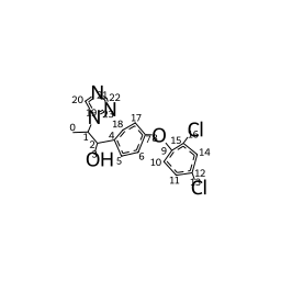 CC(C(O)c1ccc(Oc2ccc(Cl)cc2Cl)cc1)n1cncn1